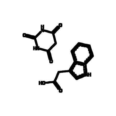 O=C(O)Cc1c[nH]c2ccccc12.O=C1CC(=O)NC(=O)N1